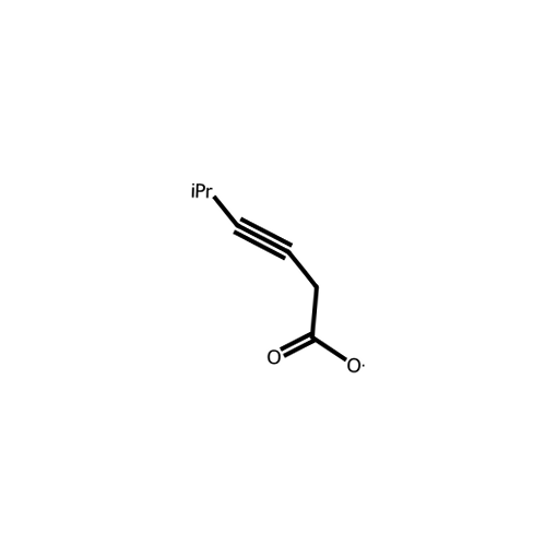 CC(C)C#CCC([O])=O